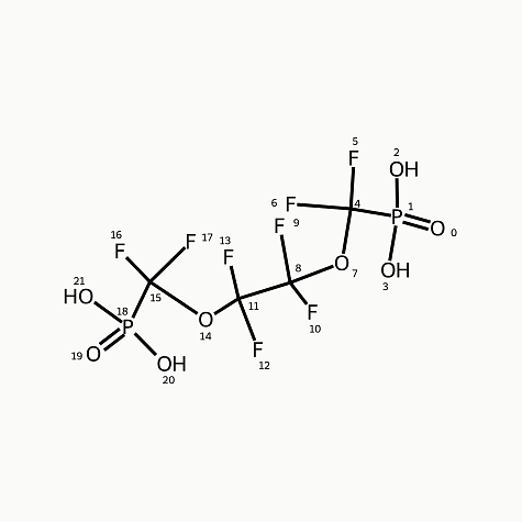 O=P(O)(O)C(F)(F)OC(F)(F)C(F)(F)OC(F)(F)P(=O)(O)O